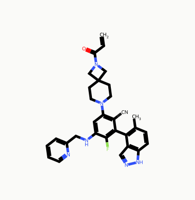 C=CC(=O)N1CC2(CCN(c3cc(NCc4ccccn4)c(F)c(-c4c(C)ccc5[nH]ncc45)c3C#N)CC2)C1